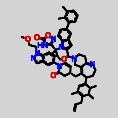 C=CCC1=C(C)C=C(C2CCN=C3CCN(C(=O)c4cc5cc(-c6cccc(C)c6C)ccc5n4[C@@]4(c5noc(=O)[nH]5)C[C@@H]4C)CC3=C2C[C@@H]2C=CN(c3ccc4c(cnn4CCOC)c3)C(=O)C2)C(C)C1C